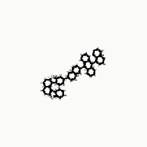 c1ccc2c(-c3c4ccccc4c(-c4ccc5cc(-c6ccc7c(c6)oc6ccc8ccc9oc%10ccccc%10c9c8c67)ccc5c4)c4ccccc34)cccc2c1